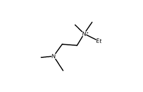 [CH2]C[N+](C)(C)CCN(C)C